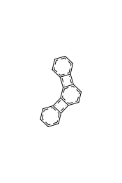 c1ccc2c(c1)c1ccc3c4ccccc4c3c21